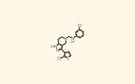 Clc1cccc(NCN2CCc3[nH]nc(-c4ccsc4Cl)c3C2)c1